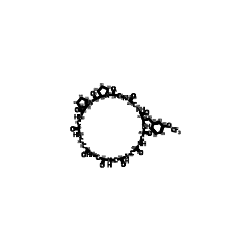 O=C1CCNC(=O)CNC(=O)C2(CCCC2)NC(=O)C2CCCN2C(=O)CNC(=O)CNC(=O)C(Cc2cccc(OC(F)(F)F)c2)NC(=O)CNC(=O)CNC(=O)CNC(=O)CN1